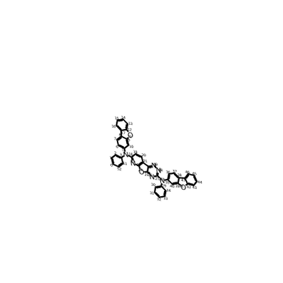 c1ccc(N(c2ccc3c(c2)oc2ccccc23)c2ccc3c(n2)oc2nc(N(c4ccccc4)c4ccc5c(c4)oc4ccccc45)nnc23)cc1